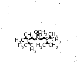 C=O.CC(C)P(CC[N]([Ru])CCP(C(C)C)C(C)C)C(C)C